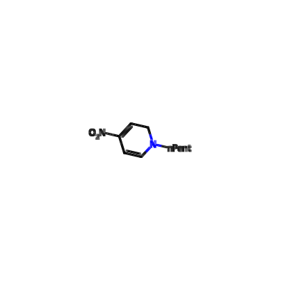 CCCCCN1C=CC([N+](=O)[O-])=CC1